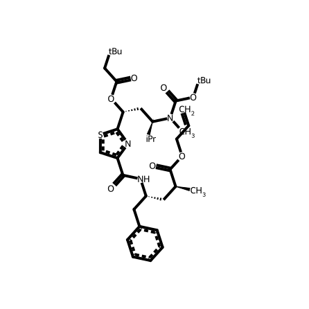 C=CCOC(=O)[C@@H](C)C[C@H](Cc1ccccc1)NC(=O)c1csc([C@@H](C[C@H](C(C)C)N(C)C(=O)OC(C)(C)C)OC(=O)CC(C)(C)C)n1